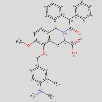 COc1ccc2c(c1OCc1ccc(N(C)C)c(C)c1)CC(C(=O)O)N(C(=O)C(c1ccccc1)c1ccccc1)C2